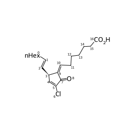 CCCCCCC=C[C@@H]1C=C(Cl)C(=O)C1=CCCCCCC(=O)O